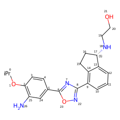 CC(C)Oc1ccc(-c2nc(-c3cccc4c3CC[C@@H]4NCCO)no2)cc1N